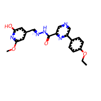 CCOc1ccc(-c2cncc(C(=O)N/N=C/c3cc(O)nc(OC)c3)n2)cc1